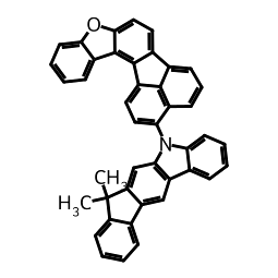 CC1(C)c2ccccc2-c2cc3c4ccccc4n(-c4ccc5c6c(cccc46)-c4ccc6oc7ccccc7c6c4-5)c3cc21